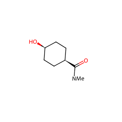 CNC(=O)[C@H]1CC[C@@H](O)CC1